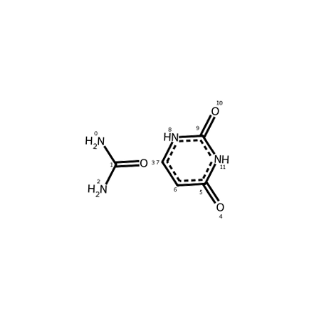 NC(N)=O.O=c1cc[nH]c(=O)[nH]1